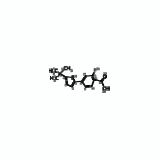 CC(C)(C)c1ccc(-c2ccc(C(=O)O)c(F)c2)s1